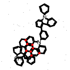 CC1CC=CC=C1C1(c2ccccc2)c2ccccc2-c2c(-c3ccccc3N(c3cccc(-c4cccc5c4c4ccccc4n5-c4ccccc4)c3)c3ccccc3-c3cccc4cccc(C5CCCCC5)c34)cccc21